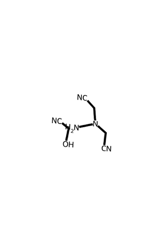 N#CCN(N)CC#N.N#CCO